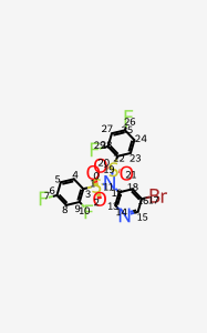 O=S(=O)(c1ccc(F)cc1F)N(c1cncc(Br)c1)S(=O)(=O)c1ccc(F)cc1F